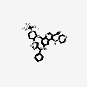 CC(C)(C)N1CCC(n2cc([C@@H](Nc3cc(Cl)c4ncc(C#N)c(NN5CCOCC5)c4c3)c3ccccc3)nn2)CC1